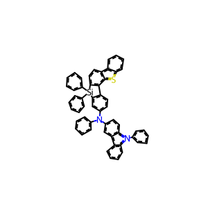 c1ccc(N(c2ccc3c(c2)[Si](c2ccccc2)(c2ccccc2)c2ccc4c(sc5ccccc54)c2-3)c2ccc3c(c2)c2ccccc2n3-c2ccccc2)cc1